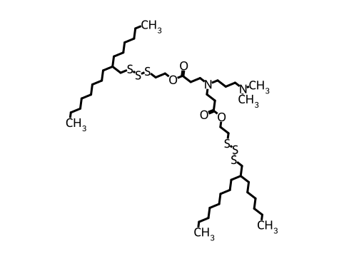 CCCCCCCCC(CCCCCC)CSSSCCOC(=O)CCN(CCCN(C)C)CCC(=O)OCCSSSCC(CCCCCC)CCCCCCCC